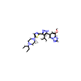 CCC(CC)N1CCN(c2cnc(-c3n[nH]c(-c4cc(OC)c5ncnn5c4)c3C(C)C)s2)[C@H](C)C1